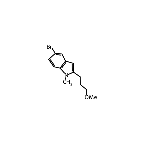 COCCCc1cc2cc(Br)ccc2n1C